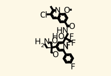 CC[C@]1(C(N)=O)COc2c1cc(C(O)(CNC(=O)c1cc(OC)c3nc(C)c(Cl)cc3c1)C(F)(F)F)nc2-c1ccc(F)cc1